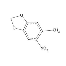 Cc1cc2c(cc1[N+](=O)[O-])OCO2